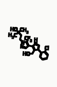 CC(C)(O)CCn1ncc(-c2[nH]cc(-c3ccccc3Cl)c2CO)c1C(F)(F)F